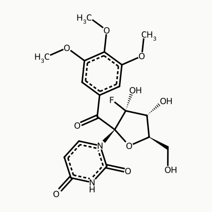 COc1cc(C(=O)[C@@]2(n3ccc(=O)[nH]c3=O)O[C@H](CO)[C@@H](O)[C@]2(O)F)cc(OC)c1OC